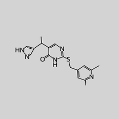 Cc1cc(CSc2ncc(C(C)c3cn[nH]c3)c(=O)[nH]2)cc(C)n1